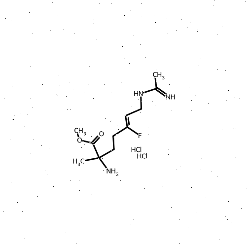 COC(=O)C(C)(N)CC/C(F)=C/CNC(C)=N.Cl.Cl